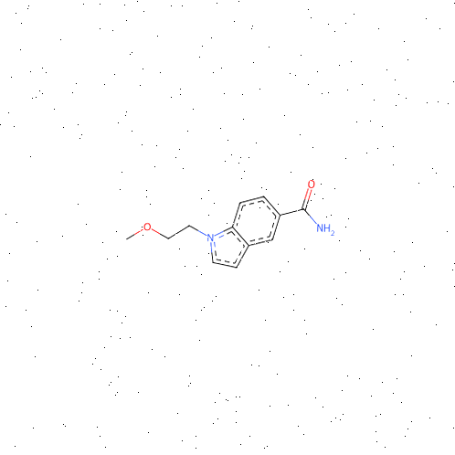 COCCn1ccc2cc(C(N)=O)ccc21